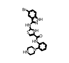 O=C(Nc1ccccc1N1CCNCC1)C1=CSC(Nc2n[nH]c3ccc(Br)cc23)N1